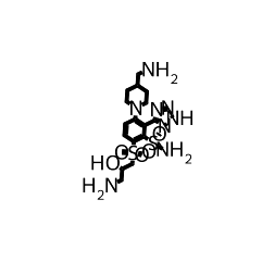 NCC(O)CS(=O)(=O)c1ccc(N2CCC(CN)CC2)c(-c2nn[nH]n2)c1S(N)(=O)=O